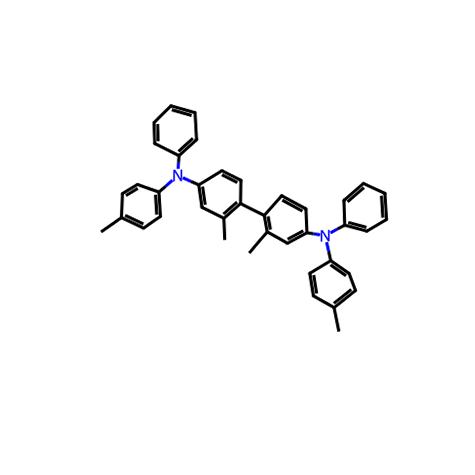 Cc1ccc(N(c2ccccc2)c2ccc(-c3ccc(N(c4ccccc4)c4ccc(C)cc4)cc3C)c(C)c2)cc1